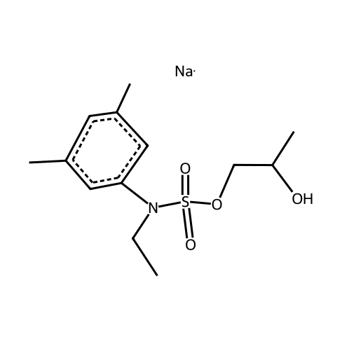 CCN(c1cc(C)cc(C)c1)S(=O)(=O)OCC(C)O.[Na]